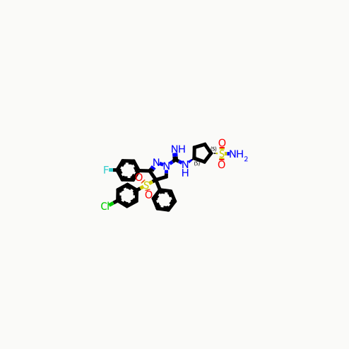 N=C(N[C@H]1CC[C@H](S(N)(=O)=O)C1)N1CC(c2ccccc2)(S(=O)(=O)c2ccc(Cl)cc2)C(c2ccc(F)cc2)=N1